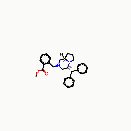 COC(=O)c1ccccc1CN1C[C@@H]2CCCN2[C@H](C(c2ccccc2)c2ccccc2)C1